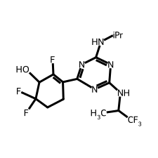 CC(C)Nc1nc(NC(C)C(F)(F)F)nc(C2=C(F)C(O)C(F)(F)CC2)n1